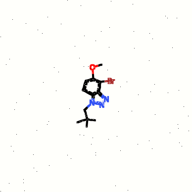 COc1ccc2c(nnn2CC(C)(C)C)c1Br